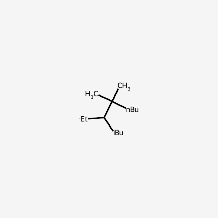 C[CH]C(C(C)CC)C(C)(C)CCCC